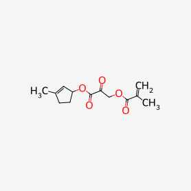 C=C(C)C(=O)OCC(=O)C(=O)OC1C=C(C)CC1